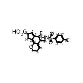 O=C(O)C1C=C2C(=C3OCCC=C3C(CNS(=O)(=O)c3ccc(Cl)cc3)C2F)C1